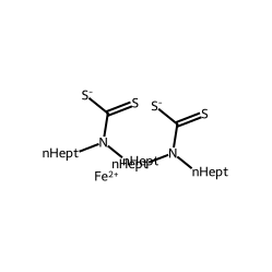 CCCCCCCN(CCCCCCC)C(=S)[S-].CCCCCCCN(CCCCCCC)C(=S)[S-].[Fe+2]